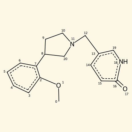 COc1ccccc1C1CCN(Cc2ccc(=O)[nH]c2)C1